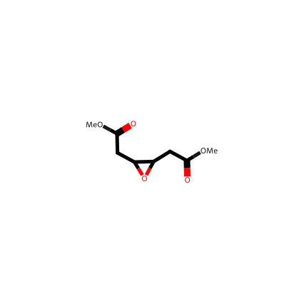 COC(=O)CC1OC1CC(=O)OC